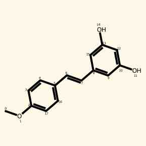 COc1[c]cc(C=Cc2cc(O)cc(O)c2)cc1